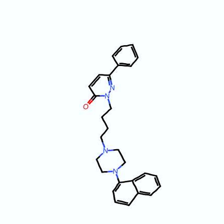 O=c1ccc(-c2ccccc2)nn1CCCCN1CCN(c2cccc3ccccc23)CC1